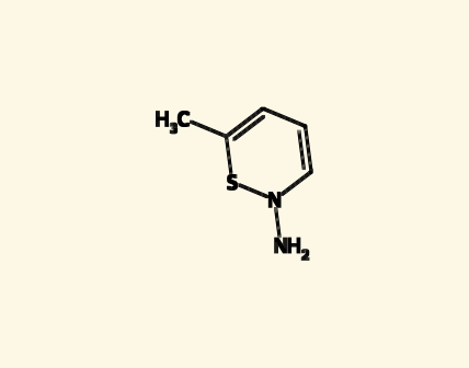 CC1=CC=CN(N)S1